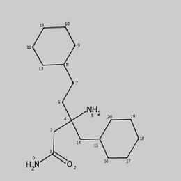 NC(=O)CC(N)(CCC1CCCCC1)CC1CCCCC1